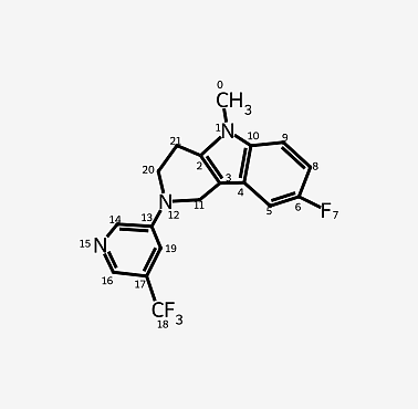 Cn1c2c(c3cc(F)ccc31)CN(c1cncc(C(F)(F)F)c1)CC2